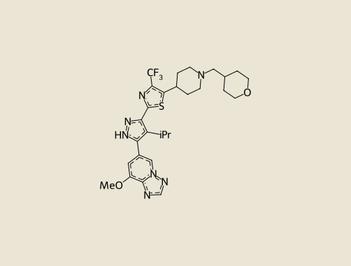 COc1cc(-c2[nH]nc(-c3nc(C(F)(F)F)c(C4CCN(CC5CCOCC5)CC4)s3)c2C(C)C)cn2ncnc12